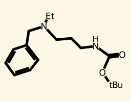 CCN(CCCNC(=O)OC(C)(C)C)Cc1ccccc1